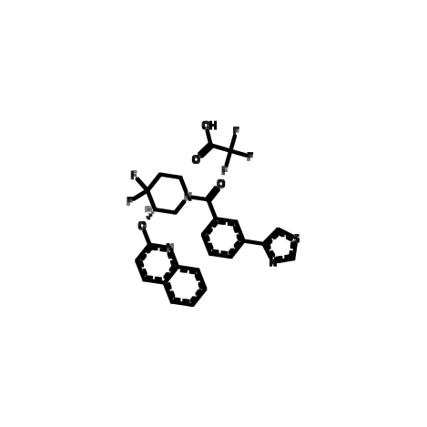 O=C(O)C(F)(F)F.O=C(c1cccc(-c2cscn2)c1)N1CCC(F)(F)[C@@H](Oc2ccc3ccccc3n2)C1